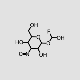 O=NC1C(O)C(CO)OC(OC(O)F)C1O